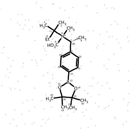 CCC(C)(C)[N+](C)(C(=O)O)[C@H](C)c1ccc(B2OC(C)(C)C(C)(C)O2)cc1